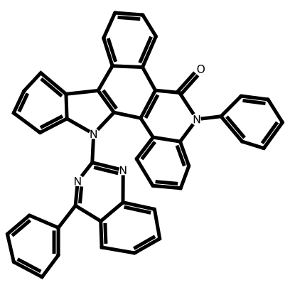 O=c1c2c3ccccc3c3c4ccccc4n(-c4nc(-c5ccccc5)c5ccccc5n4)c3c2c2ccccc2n1-c1ccccc1